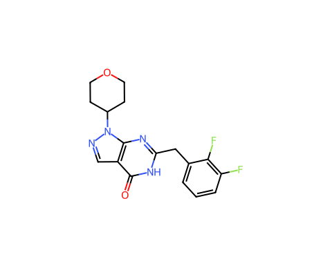 O=c1[nH]c(Cc2cccc(F)c2F)nc2c1cnn2C1CCOCC1